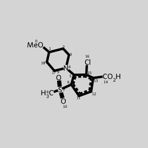 COC1CCN(c2c(S(C)(=O)=O)ccc(C(=O)O)c2Cl)CC1